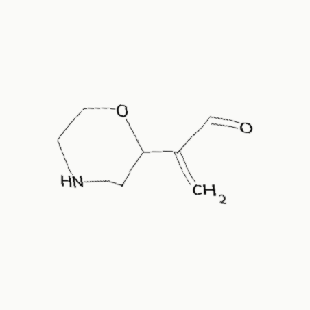 C=C(C=O)C1CNCCO1